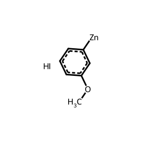 COc1ccc[c]([Zn])c1.I